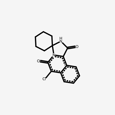 O=C1NC2(CCCCC2)n2c1c1ccccc1c(Cl)c2=O